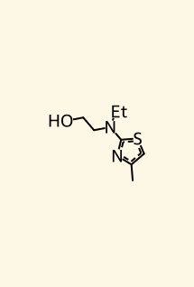 CCN(CCO)c1nc(C)cs1